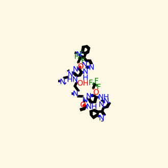 C=CC(=O)Nc1cc(Nc2nccc(-c3cn(C)c4ccccc34)n2)c(OCC(F)(F)F)nc1N(C)CCN(C)CCC(O)Nc1cc(Nc2nccc(-c3cn(C)c4ccccc34)n2)c(OCC(F)(F)F)nc1N(C)CCN(C)C